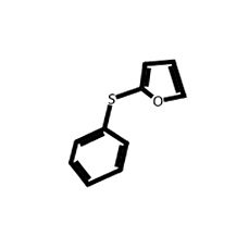 c1ccc(Sc2ccco2)cc1